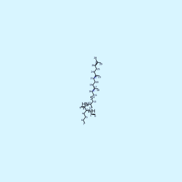 C=CNC(CCCC)C(=C)NC(C)CSC/C=C(\C)CC/C=C(\C)CCC=C(C)C